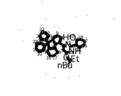 CCCCC(CC)OC1CC(C2=CC=CC3C2C2=C(C=CCC2)C3(c2ccccc2)c2ccccc2)=NC(C2C=CCCC2O)N1